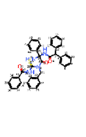 NC(NC(=O)C(c1ccccc1)c1ccccc1)(C(=O)N(Cc1ccccc1)C(=S)NC(=O)c1ccccc1)c1ccccc1